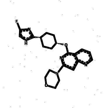 Fc1c[nH]c([C@H]2CC[C@@H](Oc3nc(N4CCOCC4)cc4ncccc34)CC2)n1